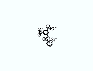 O=[N+]([O-])c1cc(C[S+]([O-])c2cccc[n+]2[O-])cc([N+](=O)[O-])c1